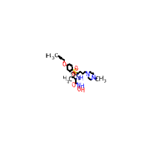 CC#CCOc1ccc(S(=O)(=O)C(CCCN2CCN(C)CC2)NC(C(=O)NO)C(C)C)cc1